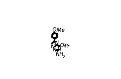 COc1ccc(-c2cnc3nc(N)nc(OC(C)C)c3n2)cc1